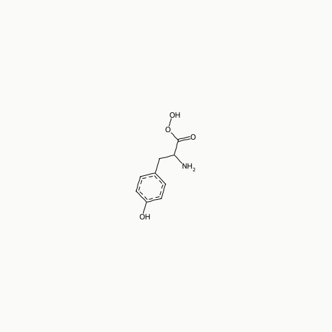 NC(Cc1ccc(O)cc1)C(=O)OO